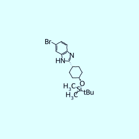 CC(C)(C)[Si](C)(C)O[C@H]1CC[C@H](c2nc3ccc(Br)cc3[nH]2)CC1